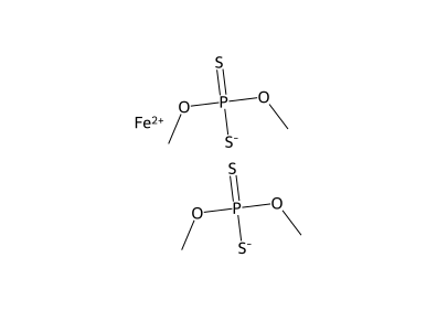 COP(=S)([S-])OC.COP(=S)([S-])OC.[Fe+2]